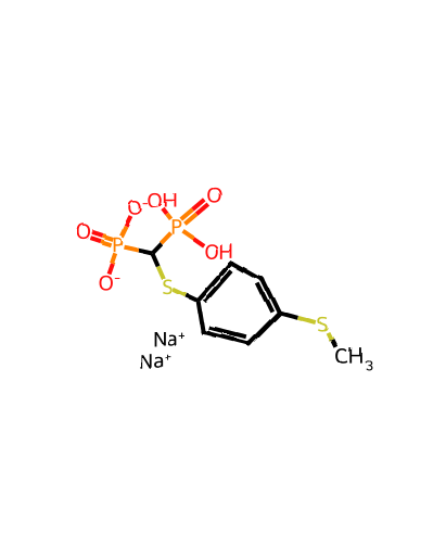 CSc1ccc(SC(P(=O)([O-])[O-])P(=O)(O)O)cc1.[Na+].[Na+]